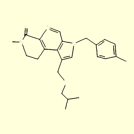 CC(C)COCc1cn(Cc2ccc(F)cc2)c2cnc3c(c12)CCN(O)C3=O